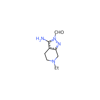 CCN1CCc2c(nn(C=O)c2N)C1